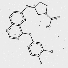 O=C(O)N1CC[C@H](Oc2ccc3ncnc(Oc4ccc(F)c(Cl)c4)c3n2)C1